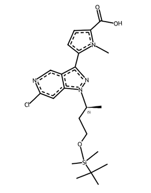 C[C@@H](CCO[Si](C)(C)C(C)(C)C)n1nc(-c2ccc(C(=O)O)n2C)c2cnc(Cl)cc21